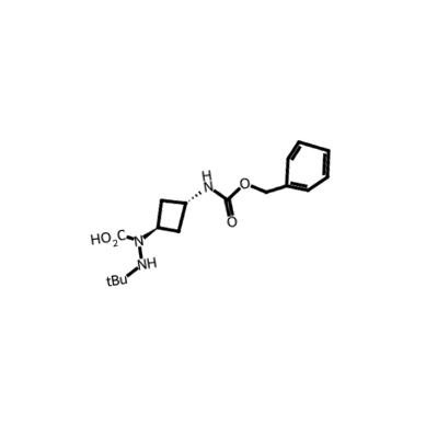 CC(C)(C)NN(C(=O)O)[C@H]1C[C@H](NC(=O)OCc2ccccc2)C1